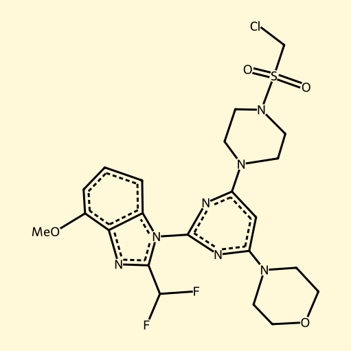 COc1cccc2c1nc(C(F)F)n2-c1nc(N2CCOCC2)cc(N2CCN(S(=O)(=O)CCl)CC2)n1